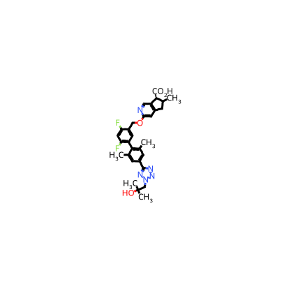 Cc1cc(-c2nnn(CC(C)(C)O)n2)cc(C)c1-c1cc(COc2cc3c(cn2)[C@@H](C(=O)O)C(C)C3)c(F)cc1F